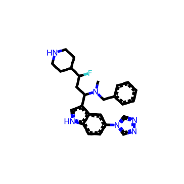 CN(Cc1ccccc1)C(CC(F)C1CCNCC1)c1c[nH]c2ccc(-n3cnnc3)cc12